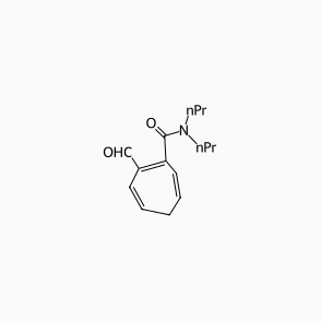 CCCN(CCC)C(=O)C1=C(C=O)C=CCC=C1